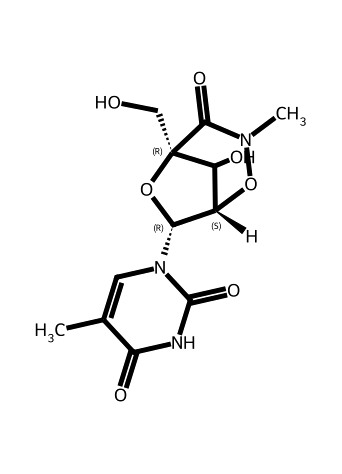 Cc1cn([C@@H]2O[C@@]3(CO)C(=O)N(C)O[C@H]2C3O)c(=O)[nH]c1=O